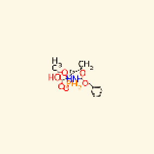 C=CC1CC1(NC(=O)OCc1ccccc1)C(OCC)([PH2]=O)C(=O)O